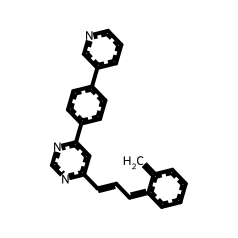 C=c1cccc/c1=C/C=C/c1cc(-c2ccc(-c3cccnc3)cc2)ncn1